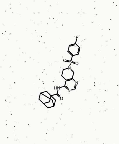 O=C(Nc1ncnc2c1CCN(S(=O)(=O)c1ccc(F)cc1)C2)C12CC3CC(CC(C3)C1)C2